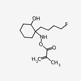 C=C(C)C(=O)ONC1(CCCCF)CCCCC1O